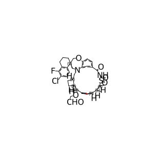 C[C@@H]1[C@@H](C)S(=O)(=O)NC(=O)c2ccc3c(c2)N(C[C@@H]2CC[C@H]2[C@@H](OCC=O)C2=C[C@H]1C2)C[C@@]1(CCCc2c1ccc(Cl)c2F)CO3